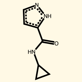 O=C(NC1CC1)c1ccn[nH]1